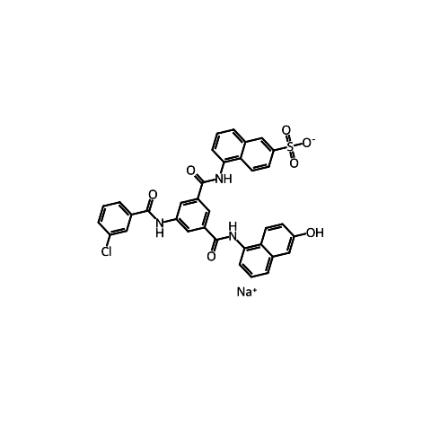 O=C(Nc1cc(C(=O)Nc2cccc3cc(O)ccc23)cc(C(=O)Nc2cccc3cc(S(=O)(=O)[O-])ccc23)c1)c1cccc(Cl)c1.[Na+]